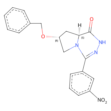 O=C1NN=C(c2cccc([N+](=O)[O-])c2)N2C[C@H](OCc3ccccc3)C[C@@H]12